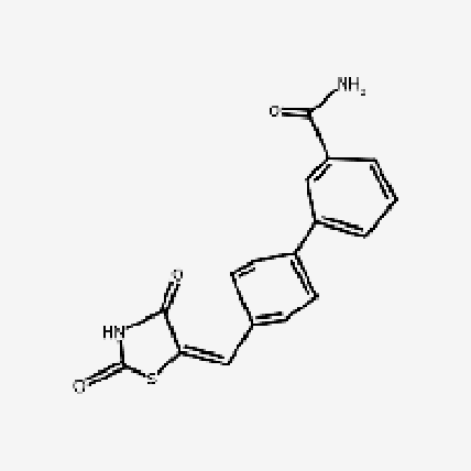 NC(=O)c1cccc(-c2ccc(C=C3SC(=O)NC3=O)cc2)c1